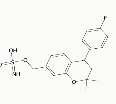 CC1(C)CC(c2ccc(F)cc2)c2ccc(COS(=N)(=O)O)cc2O1